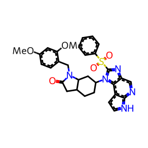 COc1ccc(CN2C(=O)CC3CCC(n4c(S(=O)(=O)c5ccccc5)nc5cnc6[nH]ccc6c54)CC32)c(OC)c1